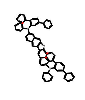 c1ccc(-c2ccc(-c3ccccc3)c(N(c3ccccc3)c3ccc4cc5c(cc4c3)oc3cc4cc(N(c6ccccc6)c6cc(-c7ccccc7)ccc6-c6ccccc6)ccc4cc35)c2)cc1